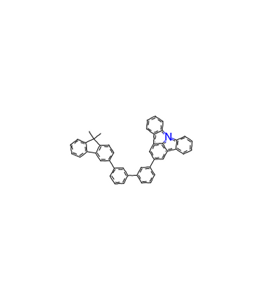 CC1(C)c2ccccc2-c2cc(-c3cccc(-c4cccc(-c5cc6c7ccccc7n7c8ccccc8c(c5)c67)c4)c3)ccc21